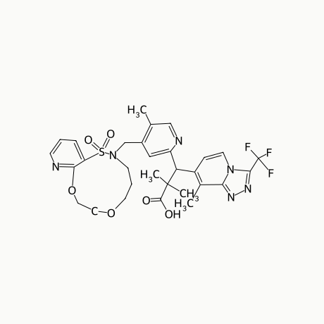 Cc1cnc(C(c2ccn3c(C(F)(F)F)nnc3c2C)C(C)(C)C(=O)O)cc1CN1CCCOCCOc2ncccc2S1(=O)=O